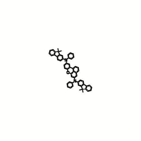 CC1(C)c2ccccc2-c2ccc(N(c3ccccc3)c3ccc4c(c3)-c3cccc5cc(N(c6ccccc6)c6ccc7c(c6)C(C)(C)c6ccccc6-7)cc(c35)O4)cc21